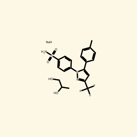 CC(O)CO.Cc1ccc(-c2cc(C(F)(F)F)nn2-c2ccc(S(N)(=O)=O)cc2)cc1.[NaH]